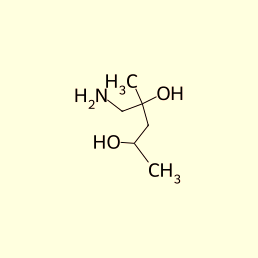 CC(O)CC(C)(O)CN